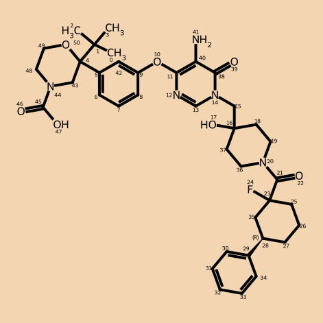 CC(C)(C)C1(c2cccc(Oc3ncn(CC4(O)CCN(C(=O)C5(F)CCC[C@@H](c6ccccc6)C5)CC4)c(=O)c3N)c2)CN(C(=O)O)CCO1